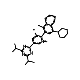 Cc1c(-c2c(F)cc(-c3nc(C(C)C)nc(C(C)C)n3)c[n+]2C)cc(C2CCCCC2)c2ccccc12